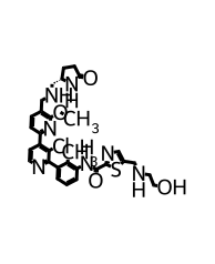 COc1nc(-c2ccnc(-c3cccc(NC(=O)c4ncc(CNCCO)s4)c3C)c2Cl)ccc1CNC[C@@H]1CCC(=O)N1